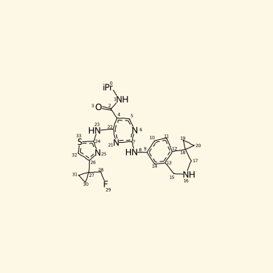 CC(C)NC(=O)c1cnc(Nc2ccc3c(c2)CNCC32CC2)nc1Nc1nc(C2(CF)CC2)cs1